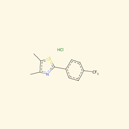 Cc1nc(-c2ccc(C(F)(F)F)cc2)sc1C.Cl